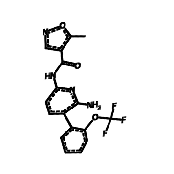 Cc1oncc1C(=O)Nc1ccc(-c2ccccc2OC(F)(F)F)c(N)n1